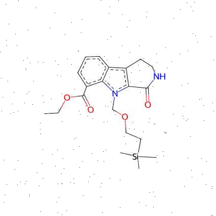 CCOC(=O)c1cccc2c3c(n(COCC[Si](C)(C)C)c12)C(=O)NCC3